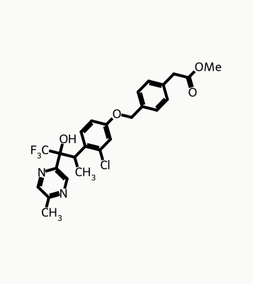 COC(=O)Cc1ccc(COc2ccc(C(C)C(O)(c3cnc(C)cn3)C(F)(F)F)c(Cl)c2)cc1